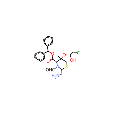 CC1(OC(O)CCl)CSC(CN)N(C=O)[C@H]1C(=O)OC(c1ccccc1)c1ccccc1